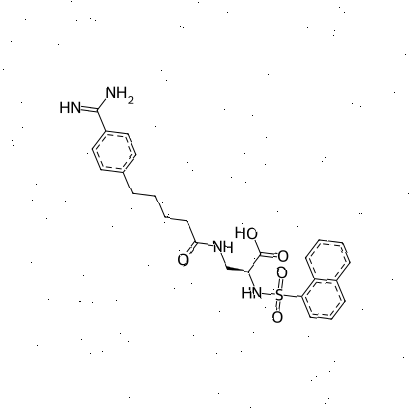 N=C(N)c1ccc(CCCCC(=O)NC[C@H](NS(=O)(=O)c2cccc3ccccc23)C(=O)O)cc1